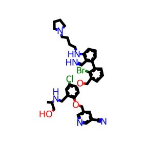 CC(CO)NCc1cc(Cl)c(OCc2cccc(-c3cccc(NCCCCN4CCCC4)c3C=N)c2Br)cc1OCc1cncc(C#N)c1